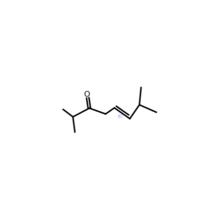 CC(C)/C=C/CC(=O)C(C)C